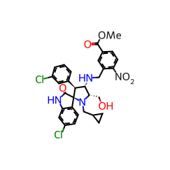 COC(=O)c1ccc([N+](=O)[O-])c(CN[C@@H]2[C@H](CO)N(CC3CC3)[C@@]3(C(=O)Nc4cc(Cl)ccc43)[C@H]2c2cccc(Cl)c2)c1